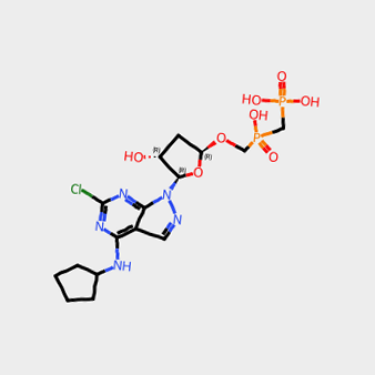 O=P(O)(O)CP(=O)(O)CO[C@@H]1C[C@@H](O)[C@H](n2ncc3c(NC4CCCC4)nc(Cl)nc32)O1